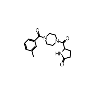 Cc1cccc(C(=O)N2CCN(C(=O)C3CCC(=O)N3)CC2)c1